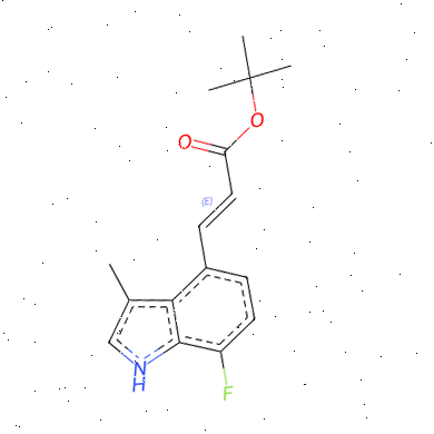 Cc1c[nH]c2c(F)ccc(/C=C/C(=O)OC(C)(C)C)c12